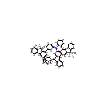 CC1(C)c2ccccc2-c2c(-c3ccccc3N(c3cccc(-c4cccc5c4C(C)(C)c4ccccc4-5)c3)c3ccc4c(c3)C(C35CC6CC(C3)C(C6)C5)c3ccccc3-4)cccc21